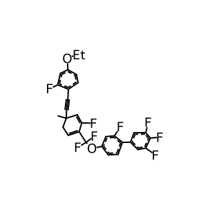 CCOc1ccc(C#CC2(C)C=C(F)C(C(F)(F)Oc3ccc(-c4cc(F)c(F)c(F)c4)c(F)c3)=CC2)c(F)c1